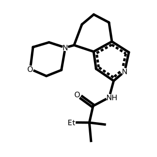 CCC(C)(C)C(=O)Nc1cc2c(cn1)CCCC2N1CCOCC1